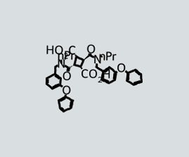 CCCN(Cc1cccc(Oc2ccccc2)c1)C(=O)[C@H]1[C@H](C(=O)O)[C@H](C(=O)N(CCC)Cc2cccc(Oc3ccccc3)c2)[C@H]1C(=O)O